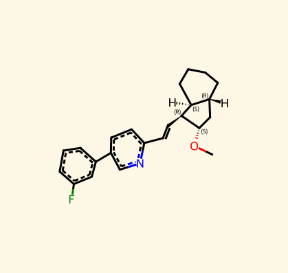 CO[C@H]1C[C@H]2CCCC[C@@H]2[C@@H]1C=Cc1ccc(-c2cccc(F)c2)cn1